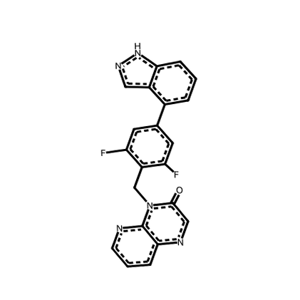 O=c1cnc2cccnc2n1Cc1c(F)cc(-c2cccc3[nH]ncc23)cc1F